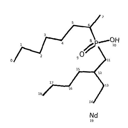 CCCCCCC(C)P(=O)(O)CC(CC)CCCC.[Nd]